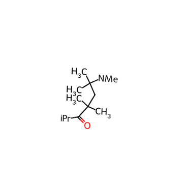 CNC(C)(C)CC(C)(C)C(=O)C(C)C